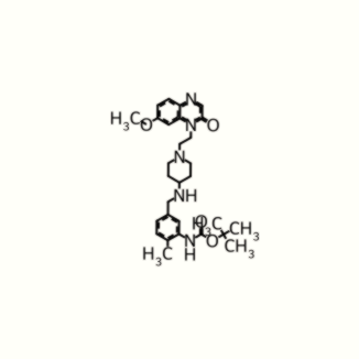 COc1ccc2ncc(=O)n(CCN3CCC(NCc4ccc(C)c(NC(=O)OC(C)(C)C)c4)CC3)c2c1